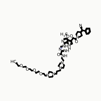 C#CCOCCOCCOCCOCCN1CCN(CCCN2CCN(CCNC(=O)C(=N)/N=C\Nc3ncc(OC)c4c(C(=O)C(=O)N5CCC(=C(C#N)c6ccccc6)CC5)c[nH]c34)CC2)CC1